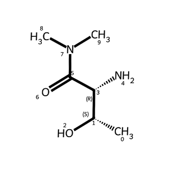 C[C@H](O)[C@@H](N)C(=O)N(C)C